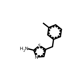 Cc1cccc(Cc2cnc(N)s2)c1